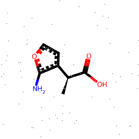 C[C@H](C(=O)O)c1ccoc1N